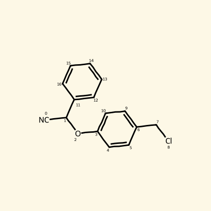 N#CC(Oc1ccc(CCl)cc1)c1ccccc1